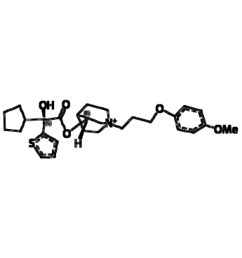 COc1ccc(OCCC[N+]23CCC(CC2)[C@@H](OC(=O)[C@](O)(c2cccs2)C2CCCC2)C3)cc1